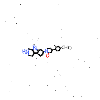 Cc1cc(C=O)ccc1-c1ccn(-c2ccc3c4c(n(C)c3c2)CNCC4)c(=O)c1